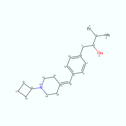 CCCC(CC)C(O)Cc1ccc(C=C2CCN(C3CCC3)CC2)cc1